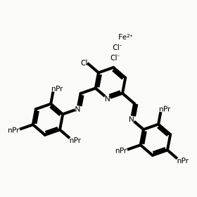 CCCc1cc(CCC)c(N=Cc2ccc(Cl)c(C=Nc3c(CCC)cc(CCC)cc3CCC)n2)c(CCC)c1.[Cl-].[Cl-].[Fe+2]